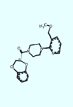 COCc1cccnc1N1CCN(C(=O)[C@H]2COc3ccccc3O2)CC1